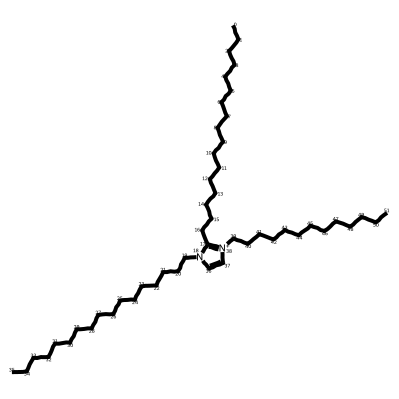 CCCCCCCCCCCCCCCCCc1n(CCCCCCCCCCCCCCCCC)cc[n+]1CCCCCCCCCCCCC